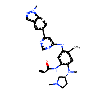 C=CC(=O)Nc1cc(Nc2cc(-c3ccc4c(cnn4C)c3)ncn2)c(OC)cc1N(C)[C@@H]1CCN(C)C1